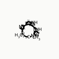 CN1CCCCN(C)c2cncc3[nH]c(nc23)-c2n[nH]c3ccc(cc23)-c2cncc(c2)C1